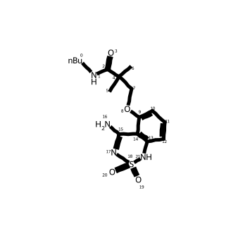 CCCCNC(=O)C(C)(C)COc1cccc2c1C(N)=NS(=O)(=O)N2